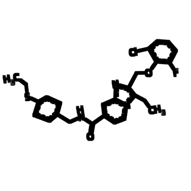 CCSc1ccc(CNC(=O)c2ccn3c(CC)c(COc4c(F)cccc4Cl)nc3c2)cc1